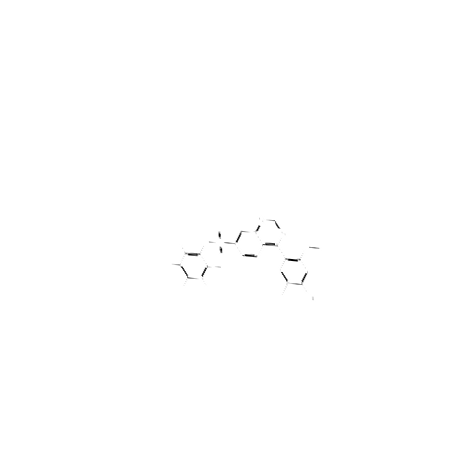 COc1cc(Br)c(C)cc1-c1ncnc2cc(S(=O)(=O)Oc3c(F)c(F)c(F)c(F)c3F)ccc12